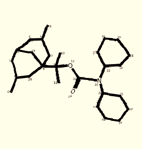 CC1CC2CC(C)CC(C(C)(C)OC(=O)N(C3CCCCC3)C3CCCCC3)(C1)C2